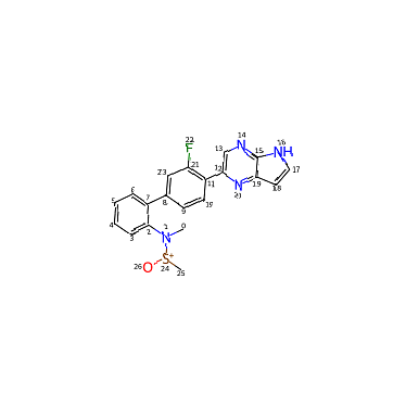 CN(c1ccccc1-c1ccc(-c2cnc3[nH]ccc3n2)c(F)c1)[S+](C)[O-]